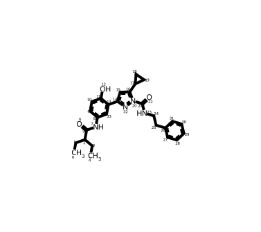 CCC(CC)C(=O)Nc1ccc(O)c(-c2cc(C3CC3)n(C(=O)NCCc3ccccc3)n2)c1